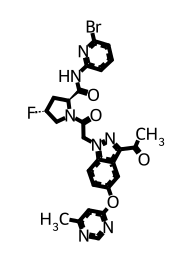 CC(=O)c1nn(CC(=O)N2C[C@H](F)C[C@H]2C(=O)Nc2cccc(Br)n2)c2ccc(Oc3cc(C)ncn3)cc12